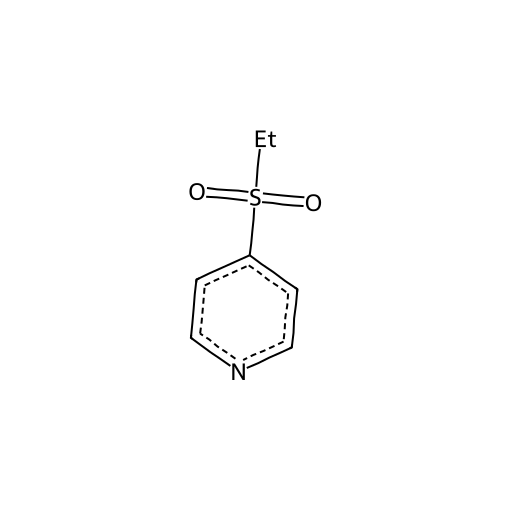 CCS(=O)(=O)c1ccncc1